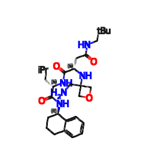 CC(C)C[C@H](NC(=O)[C@H](CC(=O)NCC(C)(C)C)NC1(CN)COC1)C(=O)N[C@@H]1CCCc2ccccc21